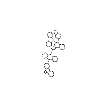 c1ccc2c(c1)-c1ccccc1C21c2c(ccc3ccccc23)-c2c1c1ccc(-c3c4ccccc4c(-c4ccc5oc6ccccc6c5c4)c4ccccc34)cc1c1ccccc21